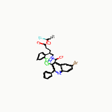 CCCC(F)OC(=O)CCC(CNC(=O)c1c(Cl)c(-c2ccccc2)nc2ccc(Br)cc12)c1ccccc1Cl